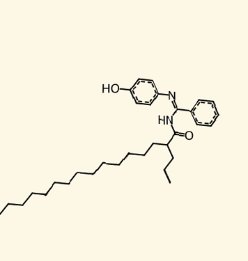 CCCCCCCCCCCCCCC(CCC)C(=O)NC(=Nc1ccc(O)cc1)c1ccccc1